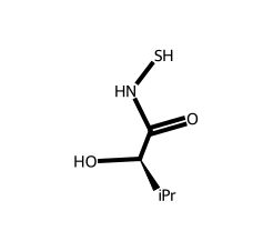 CC(C)[C@@H](O)C(=O)NS